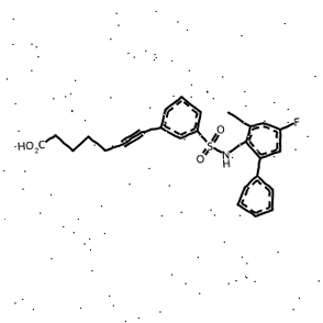 Cc1cc(F)cc(-c2ccccc2)c1NS(=O)(=O)c1cccc(C#CCCCCC(=O)O)c1